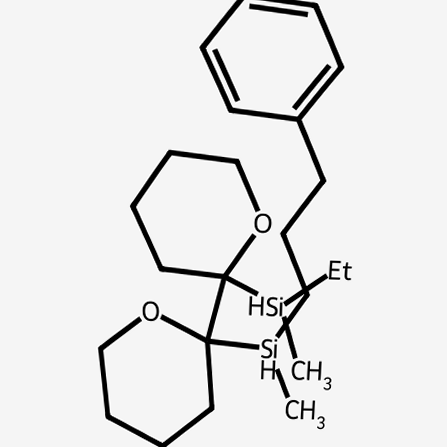 CC[SiH](C)C1(C2([SiH](C)CCCc3ccccc3)CCCCO2)CCCCO1